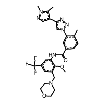 COc1c(CN2CCOCC2)cc(C(F)(F)F)cc1NC(=O)c1ccc(C)c(-n2cc(-c3cnn(C)c3C)nn2)c1